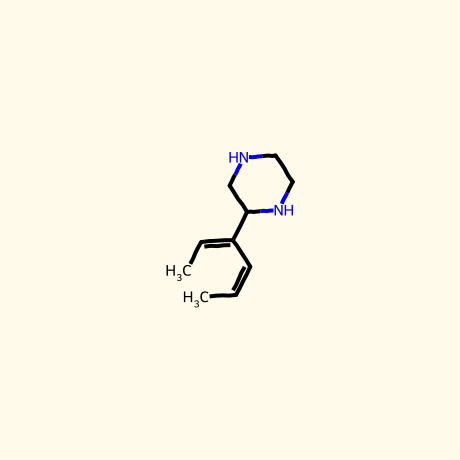 C/C=C\C(=C/C)C1CNCCN1